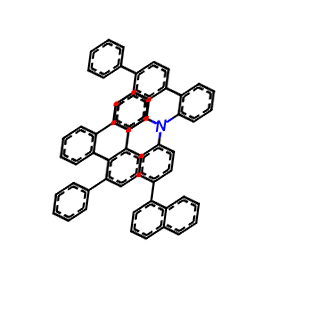 c1ccc(-c2ccc(-c3ccccc3N(c3ccc(-c4cccc5ccccc45)cc3)c3ccccc3-c3cccc(-c4ccccc4)c3-c3ccccc3-c3ccccc3)cc2)cc1